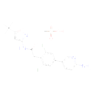 CC(C)(C)c1cc(NC(=O)Cc2c(F)cc(-c3ccc(N)nc3)cc2F)no1.CS(=O)(=O)O